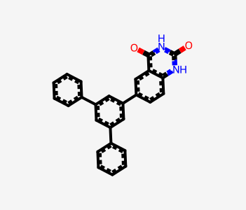 O=c1[nH]c(=O)c2cc(-c3cc(-c4ccccc4)cc(-c4ccccc4)c3)ccc2[nH]1